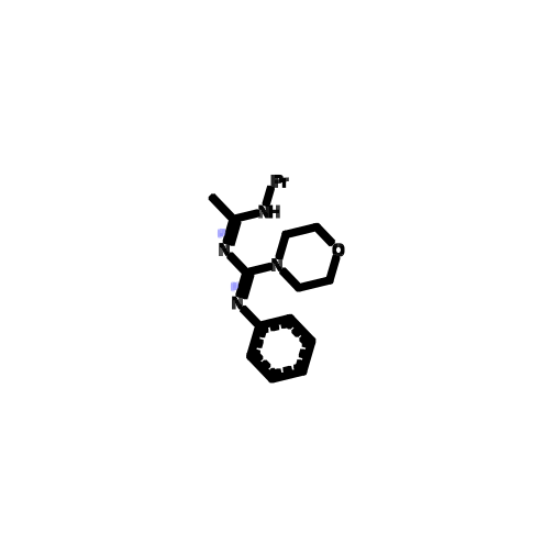 C/C(=N/C(=N/c1ccccc1)N1CCOCC1)NC(C)C